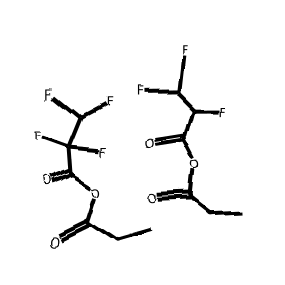 CCC(=O)OC(=O)C(F)(F)C(F)F.CCC(=O)OC(=O)C(F)C(F)F